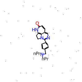 CCCN(CCC)Cc1ccc(C2=NC=C3C=CC(=O)NC4=C3N2CC4)cc1